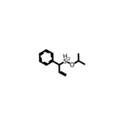 C=CC([SiH2]OC(C)C)c1ccccc1